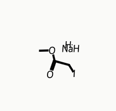 COC(=O)CI.[H].[NaH]